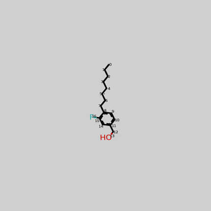 CCCCC[CH]CCc1ccc(CO)cc1F